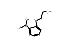 COCCOc1ccccc1B(O)O